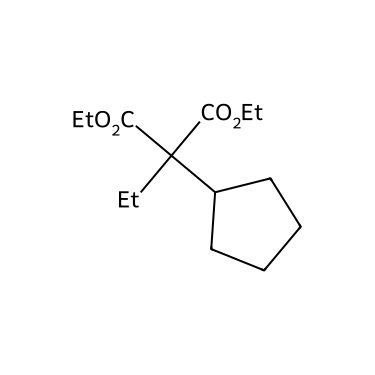 CCOC(=O)C(CC)(C(=O)OCC)C1CCCC1